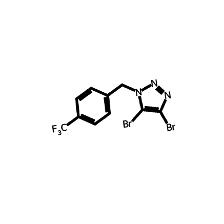 FC(F)(F)c1ccc(Cn2nnc(Br)c2Br)cc1